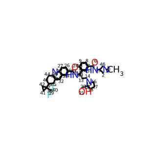 CN1CC(NC(=O)c2cccc([C@@H](CCN3CCC[C@H]3CO)NC(=O)c3ccc4nc5c(cc4c3)CC(C3(C(F)F)CC3)CC5)c2)C1